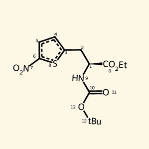 CCOC(=O)[C@H](Cc1ccc([N+](=O)[O-])s1)NC(=O)OC(C)(C)C